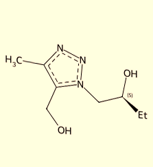 CC[C@H](O)Cn1nnc(C)c1CO